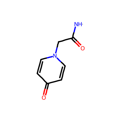 [NH]C(=O)Cn1ccc(=O)cc1